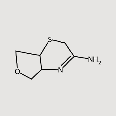 NC1=NC2COCC2SC1